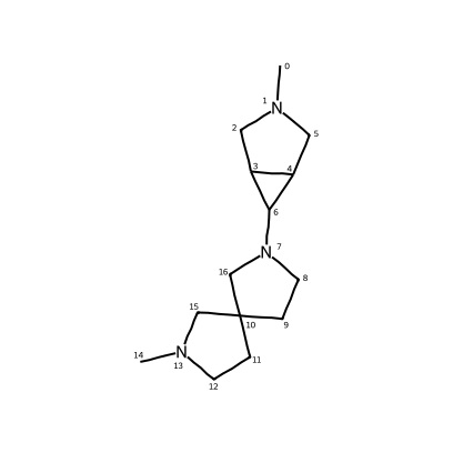 CN1CC2C(C1)C2N1CCC2(CCN(C)C2)C1